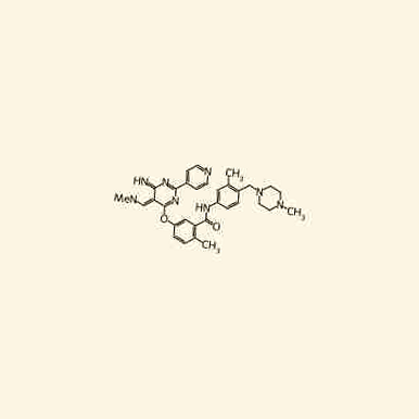 CN/C=C1\C(=N)N=C(c2ccncc2)N=C1Oc1ccc(C)c(C(=O)Nc2ccc(CN3CCN(C)CC3)c(C)c2)c1